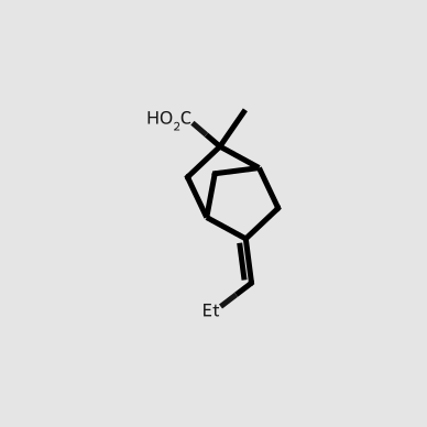 [CH2]CC=C1CC2CC1CC2(C)C(=O)O